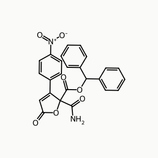 NC(=O)C1(C(=O)OC(c2ccccc2)c2ccccc2)OC(=O)C=C1c1ccc([N+](=O)[O-])cc1